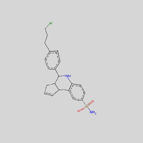 NS(=O)(=O)c1ccc2c(c1)C1C=CCC1C(c1ccc(CCCBr)cc1)N2